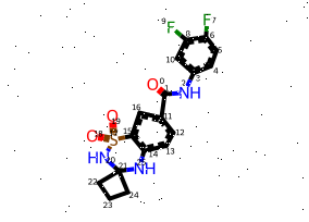 O=C(Nc1ccc(F)c(F)c1)c1ccc2c(c1)S(=O)(=O)NC1(CCC1)N2